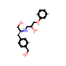 OCc1ccc(C[C@@H](CO)NC[C@H](O)COc2ccccc2)cc1